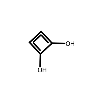 OC1=C=C=C1O